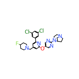 FC1CCN(Cc2cc(Oc3cnc(N4CCN5CCC4C5)nc3)nc(-c3cc(Cl)cc(Cl)c3)c2)CC1